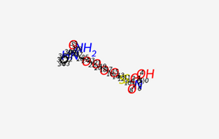 C[C@@H](C(=O)O)N(C)C(=O)CCSSCCOCCOCCOCCOCCCN[C@H](Cc1ccccc1)C(N)=O